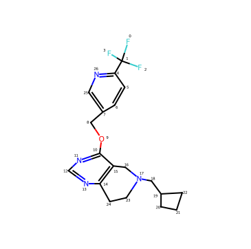 FC(F)(F)c1ccc(COc2ncnc3c2CN(CC2CCC2)CC3)cn1